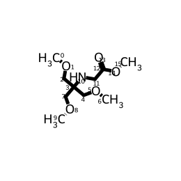 COCC(COC)(COC)NCC(=O)OC